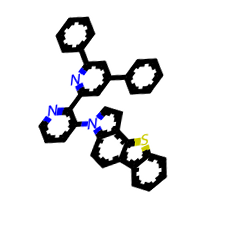 c1ccc(-c2cc(-c3ccccc3)nc(-c3ncccc3-n3ccc4c5sc6ccccc6c5ccc43)c2)cc1